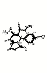 CC1=C(C(=O)CC(C)C)C(c2ccc(Cl)cc2)N2C(=O)CSC2=N1